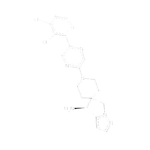 N[C@@H]1c2ccnn2CC12CCN(c1cnc(-c3cccc(Cl)c3Cl)cn1)CC2